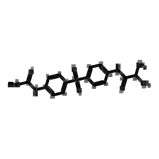 COC(=O)Nc1ccc(S(=O)(=O)c2ccc(NC(=O)C(C)N)cc2)cc1